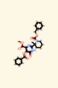 COC(=O)c1nc(C2(C)CCCCN2C(=O)OCc2ccccc2)[nH]c(=O)c1OC(=O)c1ccccc1